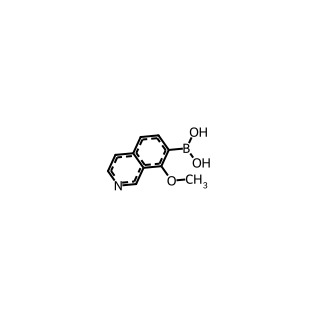 COc1c(B(O)O)ccc2ccncc12